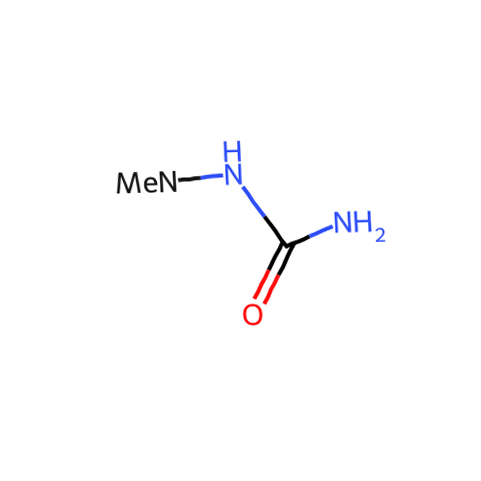 CNNC(N)=O